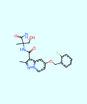 Cc1nn2ccc(OCc3ccccc3F)cc2c1C(=O)NC(C)(CO)C(N)=O